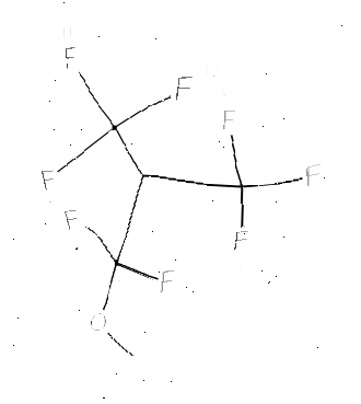 COC(F)(F)C(C(F)(F)F)C(F)(F)F